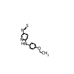 CCOc1ccc(Nc2ccc(N=C=S)cn2)cc1